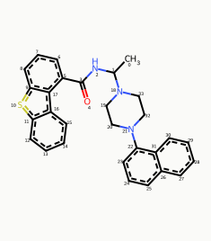 CC(NC(=O)c1cccc2sc3ccccc3c12)N1CCN(c2cccc3ccccc23)CC1